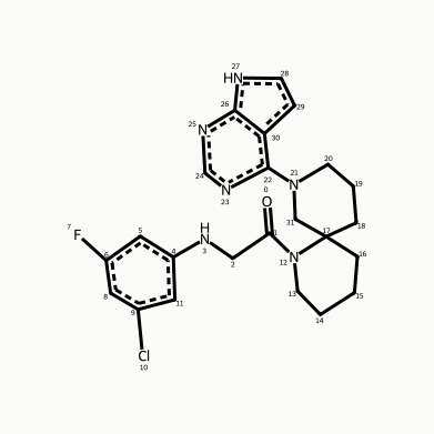 O=C(CNc1cc(F)cc(Cl)c1)N1CCCCC12CCCN(c1ncnc3[nH]ccc13)C2